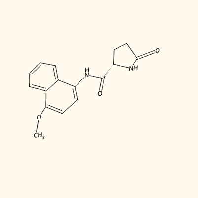 COc1ccc(NC(=O)[C@@H]2CCC(=O)N2)c2ccccc12